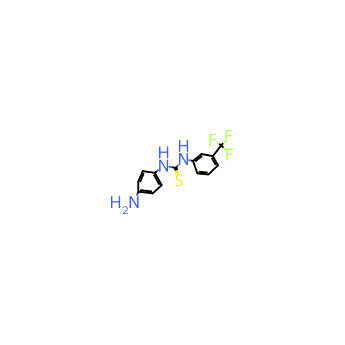 Nc1ccc(NC(=S)Nc2cccc(C(F)(F)F)c2)cc1